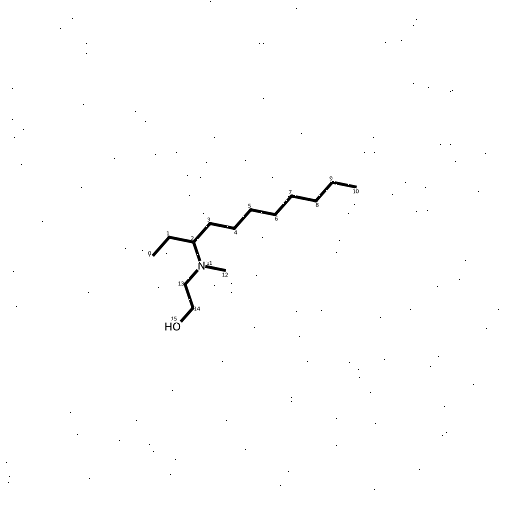 [CH2]CC(CCCCCCCC)N(C)CCO